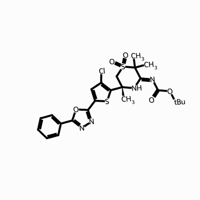 CC(C)(C)OC(=O)/N=C1\N[C@](C)(c2sc(-c3nnc(-c4ccccc4)o3)cc2Cl)CS(=O)(=O)C1(C)C